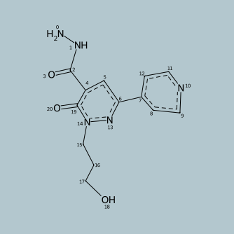 NNC(=O)c1cc(-c2ccncc2)nn(CCCO)c1=O